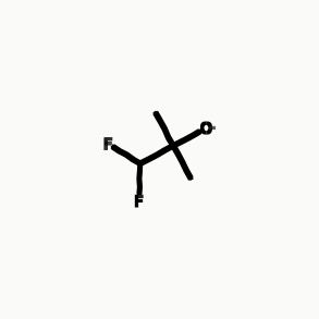 CC(C)([O])C(F)F